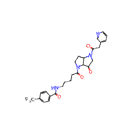 O=C(NCCCCC(=O)N1CCC2C1C(=O)CN2C(=O)Cc1cccnc1)c1ccc(C(F)(F)F)cc1